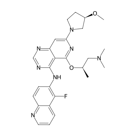 CO[C@@H]1CCN(c2cc3ncnc(Nc4ccc5ncccc5c4F)c3c(O[C@H](C)CN(C)C)n2)C1